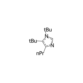 CCCc1ncn(C(C)(C)C)c1C(C)(C)C